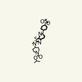 CC(C)OC(=O)N1CCC(N(C)c2nc3ccc(-c4ccc(S(C)(=O)=O)cc4)nc3s2)CC1